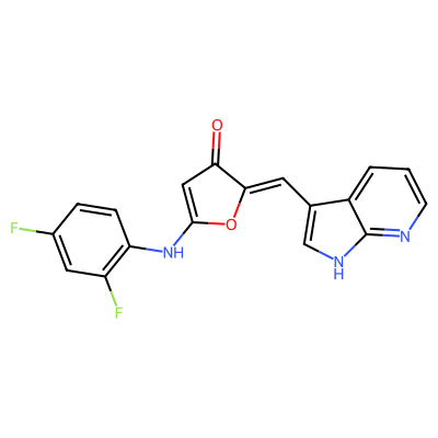 O=C1C=C(Nc2ccc(F)cc2F)OC1=Cc1c[nH]c2ncccc12